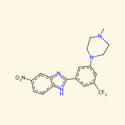 CN1CCN(c2cc(-c3nc4cc([N+](=O)[O-])ccc4[nH]3)cc(C(F)(F)F)c2)CC1